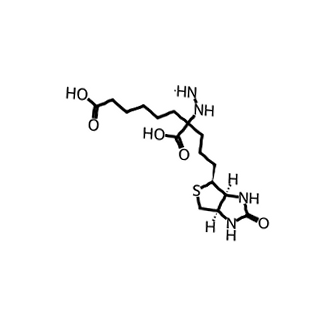 [NH]NC(CCCCCC(=O)O)(CCC[C@@H]1SC[C@@H]2NC(=O)N[C@@H]21)C(=O)O